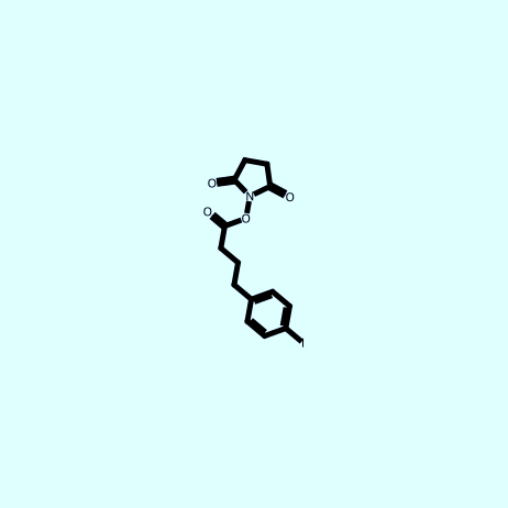 O=C(CCCc1ccc(I)cc1)ON1C(=O)CCC1=O